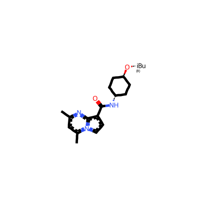 CC[C@@H](C)O[C@H]1CC[C@H](NC(=O)c2ccn3c(C)cc(C)nc23)CC1